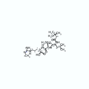 C/N=C(/N)NCCC[C@H](NC(=O)c1nc([C@H](CC(C)C)NC(=O)CC(C)(C)C)oc1C)C(=O)O